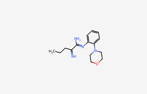 CCCC(=N)C(N)=Nc1ccccc1N1CCOCC1